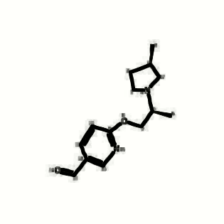 C[C@@H]1CCN([C@@H](C)COc2ccc(C=O)cn2)C1